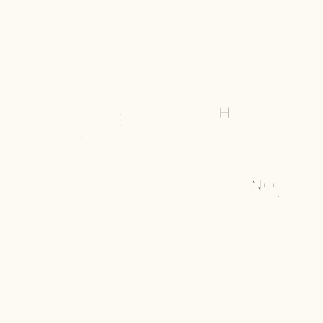 CC1(C)Cc2ccc([N+](=O)[O-])c(O)c2O1